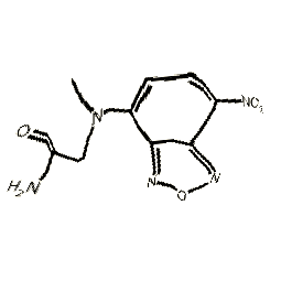 CN(CC(N)=O)c1ccc([N+](=O)[O-])c2nonc12